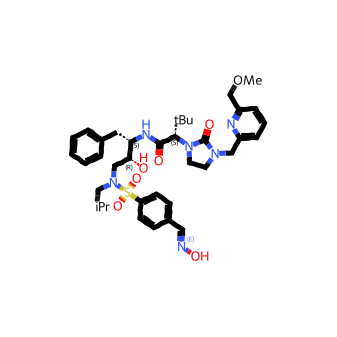 COCc1cccc(CN2CCN([C@H](C(=O)N[C@@H](Cc3ccccc3)[C@H](O)CN(CC(C)C)S(=O)(=O)c3ccc(/C=N/O)cc3)C(C)(C)C)C2=O)n1